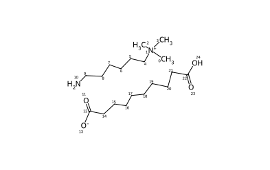 C[N+](C)(C)CCCCCCN.O=C([O-])CCCCCCCCC(=O)O